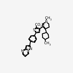 CC1CCC(C2=C(c3cc(-c4ccc(-c5cc6ncccn6n5)cc4)sc3C(=O)O)CN(C)CC2)CC1